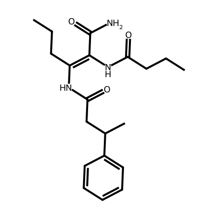 CCCC(=O)NC(C(N)=O)=C(CCC)NC(=O)CC(C)c1ccccc1